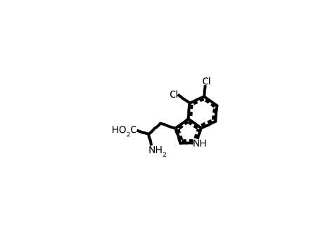 NC(Cc1c[nH]c2ccc(Cl)c(Cl)c12)C(=O)O